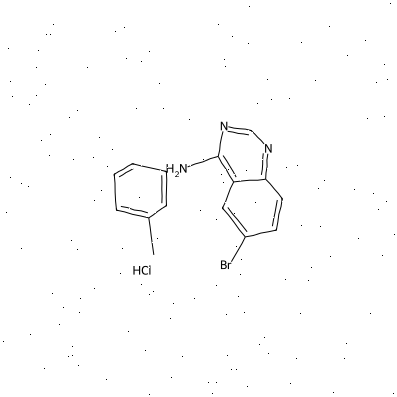 Cc1ccccc1.Cl.Nc1ncnc2ccc(Br)cc12